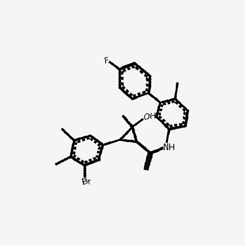 C=C(Nc1ccc(C)c(-c2ccc(F)cc2)c1)C1C(c2cc(C)c(C)c(Br)c2)C1(C)O